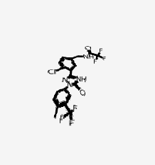 Cc1ccc(-n2nc(-c3cc(CNC(=O)C(F)(F)F)ccc3Cl)[nH]c2=O)cc1C(F)(F)F